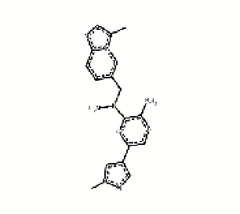 Cc1cnc2ccc(CN(N)c3nc(-c4cnn(C)c4)cnc3N)cn12